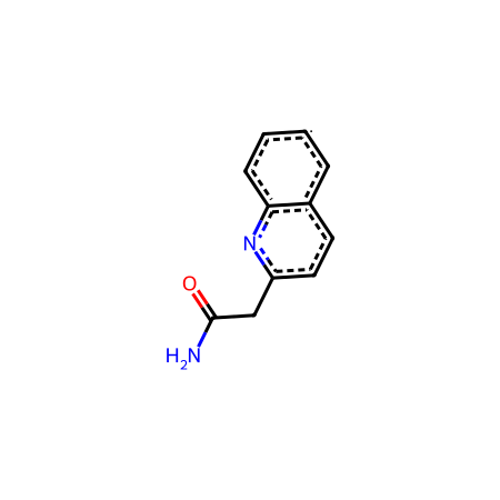 NC(=O)Cc1ccc2c[c]ccc2n1